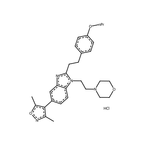 CCCOc1ccc(CCc2nc3cc(-c4c(C)noc4C)ccc3n2CCN2CCOCC2)cc1.Cl